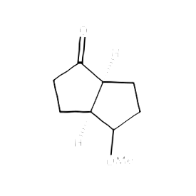 COC1CC[C@@H]2C(=O)CC[C@H]12